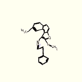 C=Nc1oc2ccc3ccc(C)cc3c2c1/N=C\Cc1ccccc1